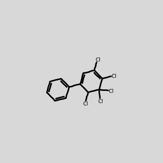 ClC1=C(Cl)C(Cl)(Cl)C(Cl)C(c2ccccc2)=C1